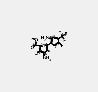 COC(=O)c1nc(-c2cc(F)c(C(F)(F)F)cc2N)cc(N)c1Cl